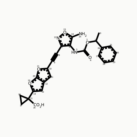 CC(OC(=O)Nc1c(C#Cc2cc3cc(C4(C(=O)O)CC4)oc3o2)noc1N)c1ccccc1